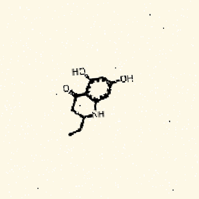 CCC1CC(=O)c2c(O)cc(O)cc2N1